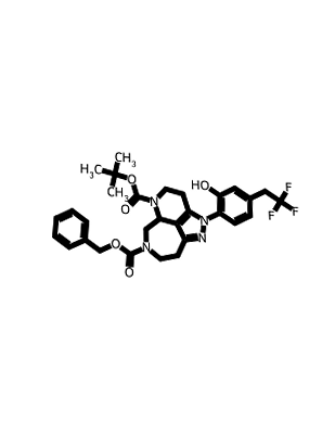 CC(C)(C)OC(=O)N1CCc2c3c(nn2-c2ccc(CC(F)(F)F)cc2O)CCN(C(=O)OCc2ccccc2)CC31